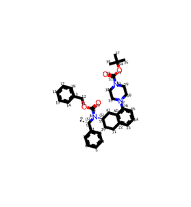 C[C@@H](c1ccccc1)N(C(=O)OCc1ccccc1)[C@H]1CCc2cccc(N3CCN(C(=O)OC(C)(C)C)CC3)c2C1